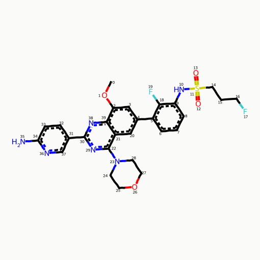 COc1cc(-c2cccc(NS(=O)(=O)CCCF)c2F)cc2c(N3CCOCC3)nc(-c3ccc(N)nc3)nc12